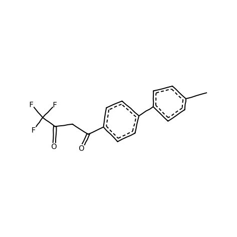 Cc1ccc(-c2ccc(C(=O)CC(=O)C(F)(F)F)cc2)cc1